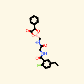 CCc1ccc(F)c(C(=O)NCC(=O)NCB2OC(=O)C(c3ccccc3)O2)c1